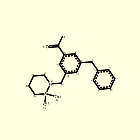 CC(=O)c1cc(Cc2ccccc2)cc(CN2CCCCS2(O)O)c1